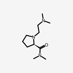 CN(C)CCN1CCC[C@@H]1C(=O)N(C)C